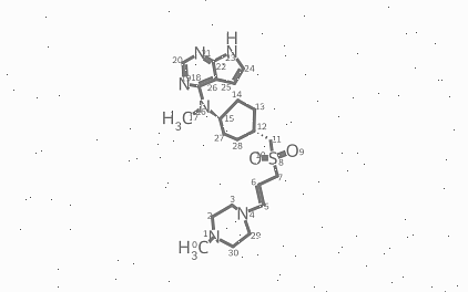 CN1CCN(C=CCS(=O)(=O)C[C@H]2CC[C@H](N(C)c3ncnc4[nH]ccc34)CC2)CC1